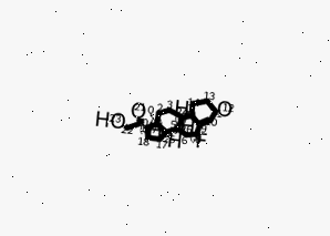 C[C@]12CC[C@H]3[C@@H](C[C@H](F)C4=CC(=O)CC[C@@H]43)[C@@H]1CC[C@@H]2C(=O)CO